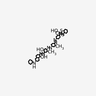 Cc1cc(N=Nc2cc(O)c(N=Nc3ccc4cc(Nc5ccccc5)ccc4c3O)cc2C)ccc1N=Nc1ccc(N=Nc2ccccc2S(=O)(=O)O)c(C)c1